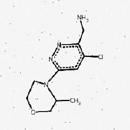 CC1COCCN1c1cc(Cl)c(CN)nn1